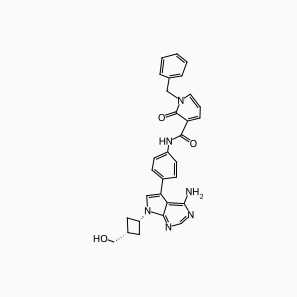 Nc1ncnc2c1c(-c1ccc(NC(=O)c3cccn(Cc4ccccc4)c3=O)cc1)cn2[C@H]1C[C@@H](CO)C1